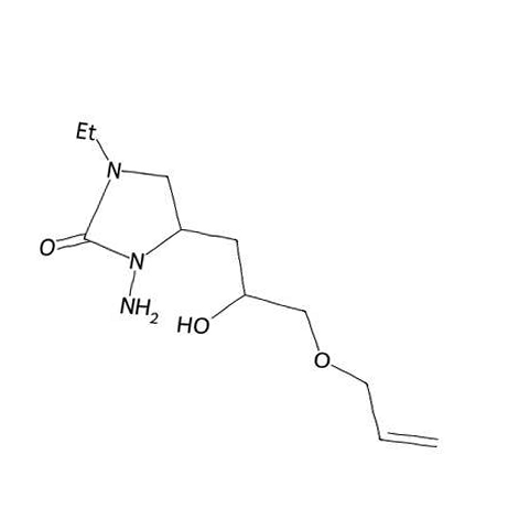 C=CCOCC(O)CC1CN(CC)C(=O)N1N